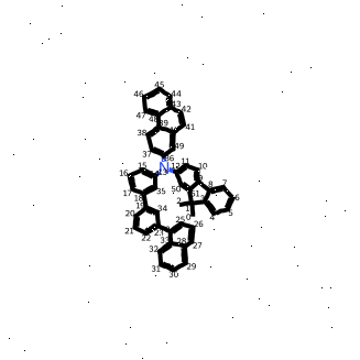 CC1(C)c2ccccc2-c2ccc(N(c3cccc(-c4cccc(-c5cccc6ccccc56)c4)c3)c3ccc4c(ccc5ccccc54)c3)cc21